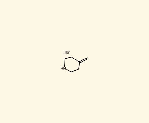 Br.C=C1CCNCC1